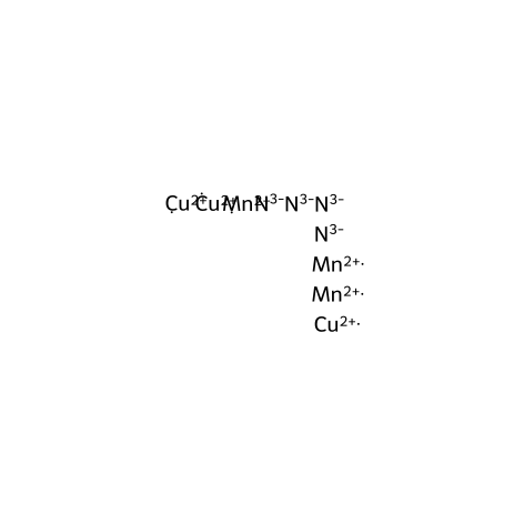 [Cu+2].[Cu+2].[Cu+2].[Mn+2].[Mn+2].[Mn+2].[N-3].[N-3].[N-3].[N-3]